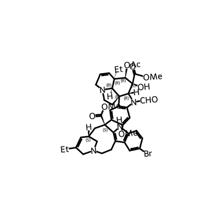 CCC1=C[C@H]2CN(CCc3c([nH]c4ccc(Br)cc34)[C@@](C(=O)OC)(c3cc4c(cc3OC)N(C=O)[C@H]3[C@@](O)(C(=O)OC)[C@H](OC(C)=O)[C@]5(CC)C=CCN6CC[C@]43[C@@H]65)C2)C1